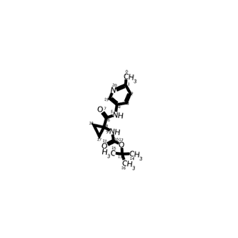 Cc1ccc(NC(=O)C2(NC(=O)OC(C)(C)C)CC2)cn1